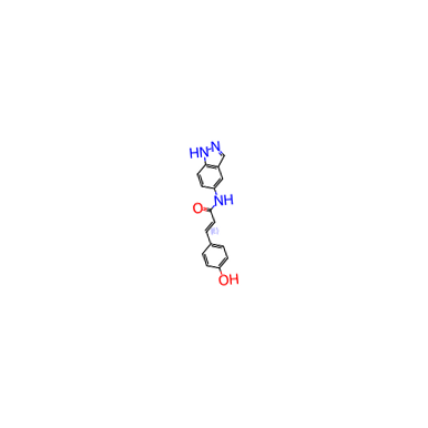 O=C(/C=C/c1ccc(O)cc1)Nc1ccc2[nH]ncc2c1